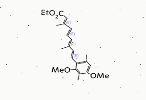 CCOC(=O)/C=C(C)/C=C/C=C(C)/C=C/c1c(C)cc(OC)c(C)c1OC